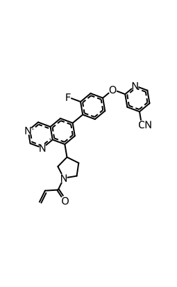 C=CC(=O)N1CCC(c2cc(-c3ccc(Oc4cc(C#N)ccn4)cc3F)cc3cncnc23)C1